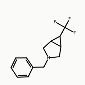 FC(F)(F)C1C2CN(Cc3ccccc3)CC21